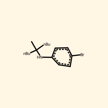 CCCCC(C)(CCCC)Nc1ccc(Br)cc1